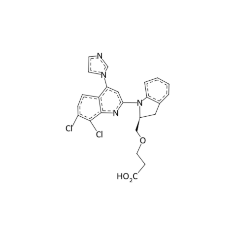 O=C(O)CCOC[C@@H]1Cc2ccccc2N1c1cc(-n2ccnc2)c2ccc(Cl)c(Cl)c2n1